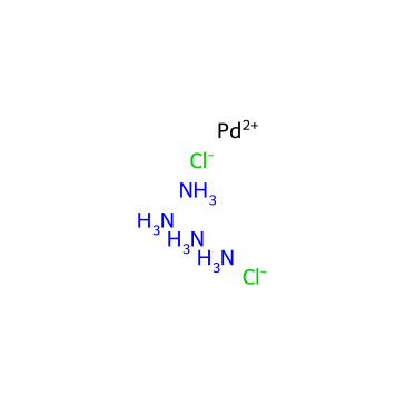 N.N.N.N.[Cl-].[Cl-].[Pd+2]